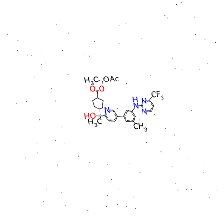 CC(=O)OC(C)OC(=O)[C@H]1CC[C@H](C(C)(O)c2ccc(-c3cc(C)cc(Nc4nccc(C(F)(F)F)n4)c3)cn2)CC1